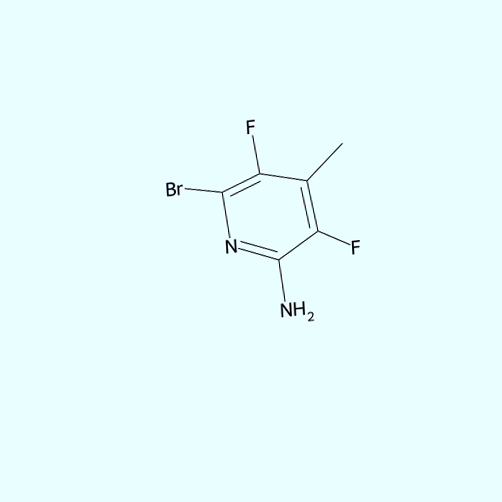 Cc1c(F)c(N)nc(Br)c1F